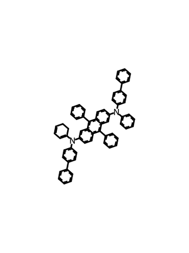 C1=CCCC(N(c2ccc(-c3ccccc3)cc2)c2ccc3c(-c4ccccc4)c4cc(N(c5ccccc5)c5ccc(-c6ccccc6)cc5)ccc4c(-c4ccccc4)c3c2)=C1